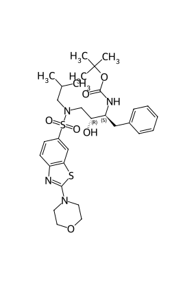 CC(C)CN(C[C@@H](O)[C@H](Cc1ccccc1)NC(=O)OC(C)(C)C)S(=O)(=O)c1ccc2nc(N3CCOCC3)sc2c1